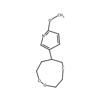 COc1ccc(C2CCCCOOCC2)cn1